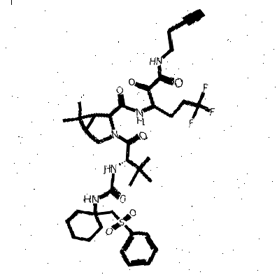 C#CCCNC(=O)C(=O)C(CCC(F)(F)F)NC(=O)C1C2C(CN1C(=O)[C@@H](NC(=O)NC1(CS(=O)(=O)c3ccccc3)CCCCC1)C(C)(C)C)C2(C)C